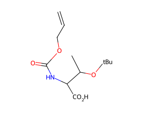 C=CCOC(=O)NC(C(=O)O)C(C)OC(C)(C)C